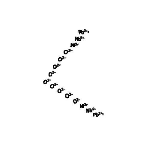 [Nb+5].[Nb+5].[Ni+2].[Ni+2].[O-2].[O-2].[O-2].[O-2].[O-2].[O-2].[O-2].[O-2].[O-2].[Pb+2].[Pb+2]